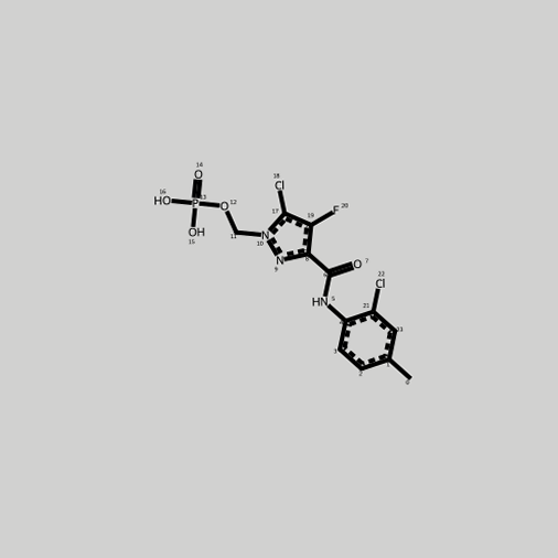 Cc1ccc(NC(=O)c2nn(COP(=O)(O)O)c(Cl)c2F)c(Cl)c1